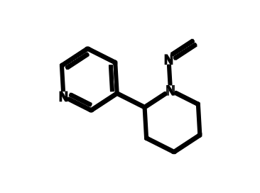 C=NN1CCCCC1c1cccnc1